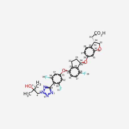 CC(C)(O)Cn1nnc(-c2c(F)cc(Oc3ccc(F)c4c3CC[C@H]4Oc3ccc4c(c3)OC[C@H]4CC(=O)O)cc2F)n1